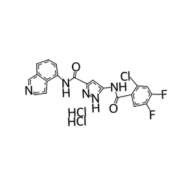 Cl.Cl.O=C(Nc1cccc2cnccc12)c1cc(NC(=O)c2cc(F)c(F)cc2Cl)[nH]n1